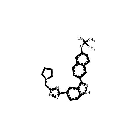 CC(C)(C)C(C)(C)Oc1ccc2cc(-c3n[nH]c4ccc(-c5n[nH]c(CN6CCCC6)n5)cc34)ccc2c1